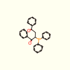 O=C(CC(C(=O)c1ccccc1)P(c1ccccc1)c1ccccc1)c1ccccc1